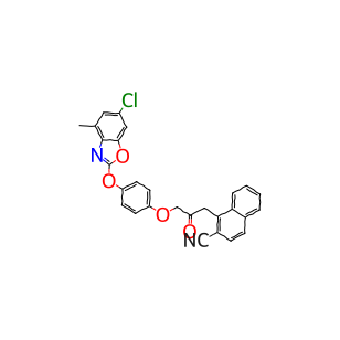 Cc1cc(Cl)cc2oc(Oc3ccc(OCC(=O)Cc4c(C#N)ccc5ccccc45)cc3)nc12